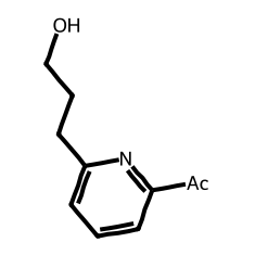 CC(=O)c1cccc(CCCO)n1